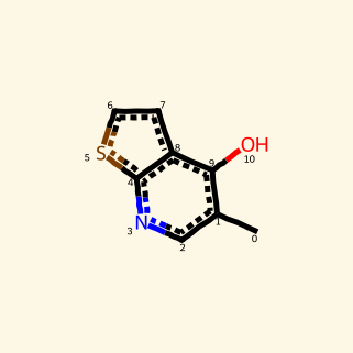 Cc1cnc2sccc2c1O